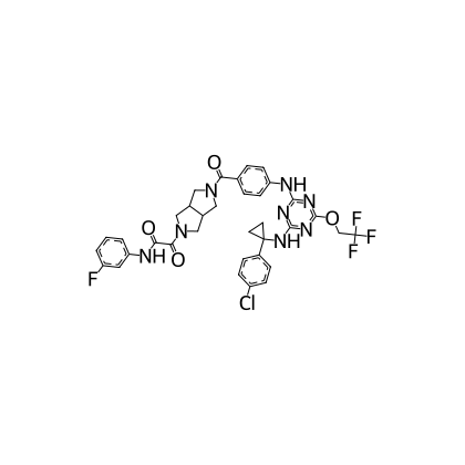 O=C(Nc1cccc(F)c1)C(=O)N1CC2CN(C(=O)c3ccc(Nc4nc(NC5(c6ccc(Cl)cc6)CC5)nc(OCC(F)(F)F)n4)cc3)CC2C1